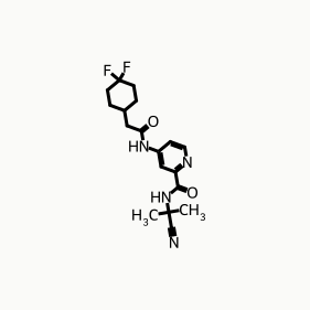 CC(C)(C#N)NC(=O)c1cc(NC(=O)CC2CCC(F)(F)CC2)ccn1